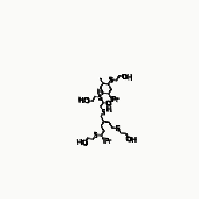 CC(C)C(CCC(CCSCCO)CSCC(O)[SH](CCO)C1CC(C)C(SCCO)CC1C(C)C)SCCO